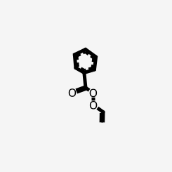 C=COOC(=O)c1ccccc1